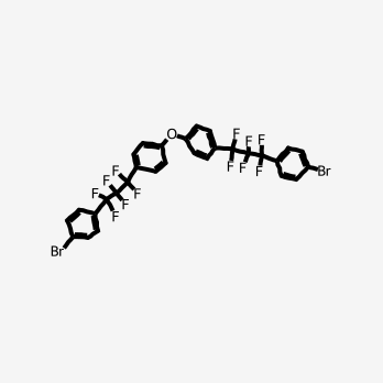 FC(F)(c1ccc(Br)cc1)C(F)(F)C(F)(F)c1ccc(Oc2ccc(C(F)(F)C(F)(F)C(F)(F)c3ccc(Br)cc3)cc2)cc1